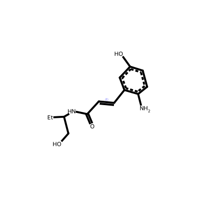 CCC(CO)NC(=O)/C=C/c1cc(O)ccc1N